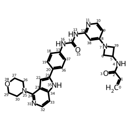 C=CC(=O)NC1CN(c2ccnc(NC(=O)Nc3ccc(-c4cc5c(N6CCOCC6)nccc5[nH]4)cc3)c2)C1